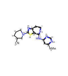 CNc1cc(Nc2nccc3nc(N4CCCC(C#N)C4)sc23)ncn1